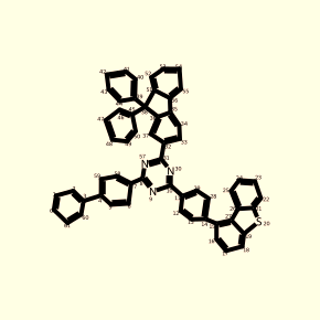 c1ccc(-c2ccc(-c3nc(-c4ccc(-c5cccc6sc7ccccc7c56)cc4)nc(-c4ccc5c(c4)C(c4ccccc4)(c4ccccc4)c4ccccc4-5)n3)cc2)cc1